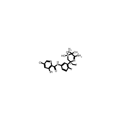 CC(C)c1cc(Cl)cnc1C(=O)Nc1ccc(F)c([C@]2(CF)CS(O)(O)C(C)(C)C(N)=N2)c1